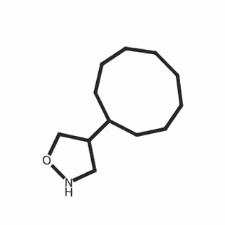 C1CCCCC(C2CNOC2)CCC1